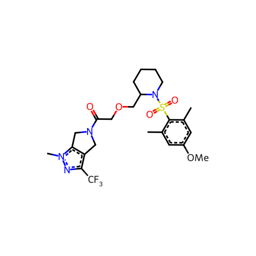 COc1cc(C)c(S(=O)(=O)N2CCCCC2COCC(=O)N2Cc3c(C(F)(F)F)nn(C)c3C2)c(C)c1